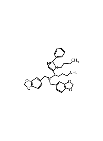 CCCCC(c1cnc(-c2ccccc2)n1CCCC)N(Cc1ccc2c(c1)OCO2)Cc1ccc2c(c1)OCO2